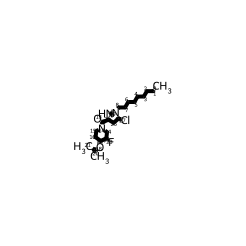 CCCCCCCCCN1NC(C(=O)N2CC[C@H](OC(C)C)[C@H](F)C2)CC1Cl